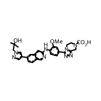 COc1cc(-c2nnc3n2CCN(C(=O)O)C3)ccc1Nc1cc2cc(-c3cnn(CC(C)(C)O)c3)ccc2cn1